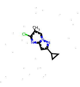 Cc1cn2nc(C3CC3)cc2nc1Cl